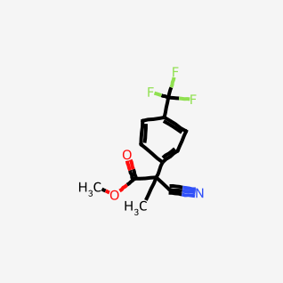 COC(=O)C(C)(C#N)c1ccc(C(F)(F)F)cc1